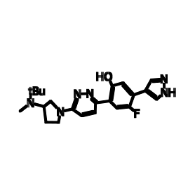 CN(C1CCN(c2ccc(-c3cc(F)c(-c4cn[nH]c4)cc3O)nn2)C1)C(C)(C)C